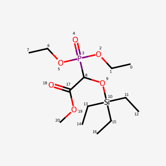 CCOP(=O)(OCC)C(O[Si](CC)(CC)CC)C(=O)OC